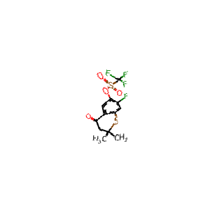 CC1(C)CC(=O)c2cc(OS(=O)(=O)C(F)(F)F)c(F)cc2S1